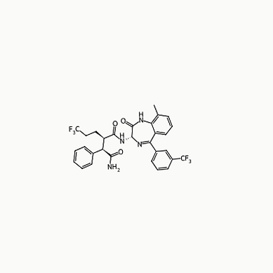 Cc1cccc2c1NC(=O)[C@@H](NC(=O)[C@H](CCC(F)(F)F)[C@@H](C(N)=O)c1ccccc1)N=C2c1cccc(C(F)(F)F)c1